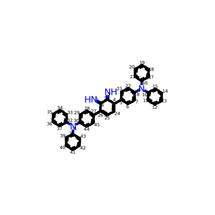 N=C1C(=N)C(c2ccc(N(c3ccccc3)c3ccccc3)cc2)=CC=C1c1ccc(N(c2ccccc2)c2ccccc2)cc1